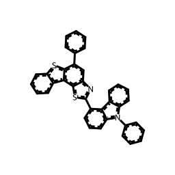 c1ccc(-c2cc3nc(-c4cccc5c4c4ccccc4n5-c4ccccc4)sc3c3c2sc2ccccc23)cc1